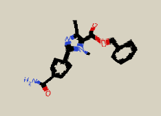 Cc1nc(-c2ccc(C(N)=O)cc2)n(C)c1C(=O)OCc1ccccc1